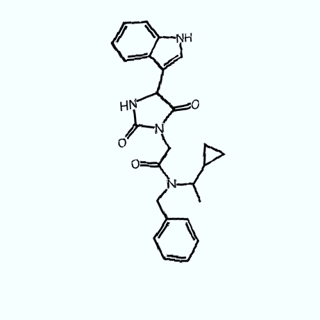 CC(C1CC1)N(Cc1ccccc1)C(=O)CN1C(=O)NC(c2c[nH]c3ccccc23)C1=O